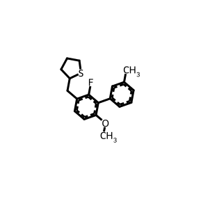 COc1ccc(CC2CCCS2)c(F)c1-c1cccc(C)c1